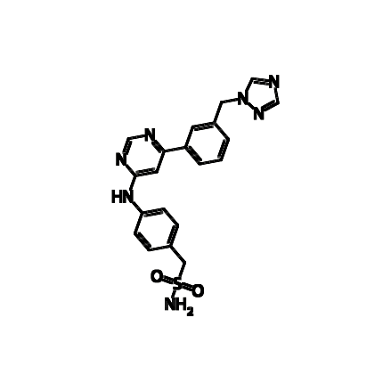 NS(=O)(=O)Cc1ccc(Nc2cc(-c3cccc(Cn4cncn4)c3)ncn2)cc1